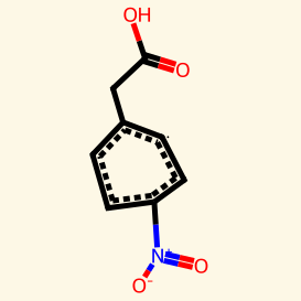 O=C(O)Cc1[c]cc([N+](=O)[O-])cc1